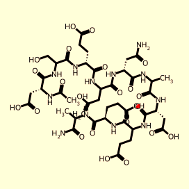 C=C(O)CC(NC(=O)[C@@H](CCC(=O)O)NC(=O)C(CO)NC(=O)[C@@H](CC(=O)O)NC(C)=O)C(=O)N[C@H](CC(N)=O)C(=O)NC(C)C(=O)N[C@H](CC(=O)O)C(=O)NC(CCC(=O)O)C(=O)N[C@H](CCC(=O)O)C(=O)NC(C)C(N)=O